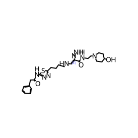 N=N/C(=C\NCCCCc1nnc(NC(=O)Cc2ccccc2)s1)C(=O)NCCN1CCC(O)CC1